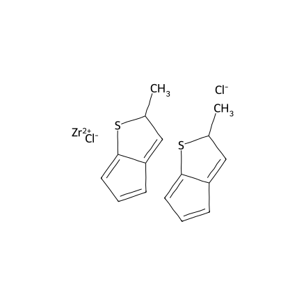 CC1C=C2C=CC=C2S1.CC1C=C2C=CC=C2S1.[Cl-].[Cl-].[Zr+2]